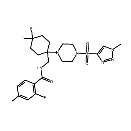 Cn1cc(S(=O)(=O)N2CCN(C3(CNC(=O)c4ccc(F)cc4F)CCC(F)(F)CC3)CC2)nn1